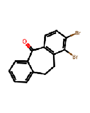 O=C1c2ccccc2CCc2c1ccc(Br)c2Br